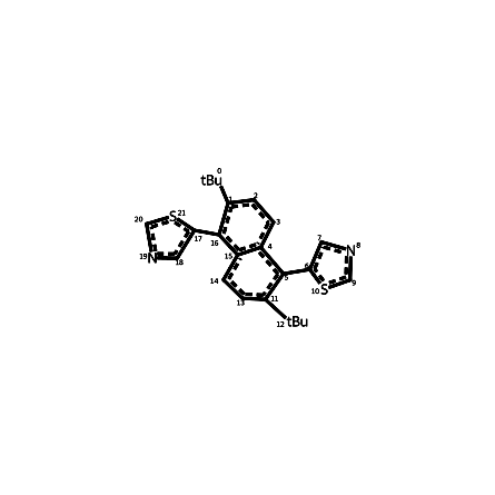 CC(C)(C)c1ccc2c(-c3cncs3)c(C(C)(C)C)ccc2c1-c1cncs1